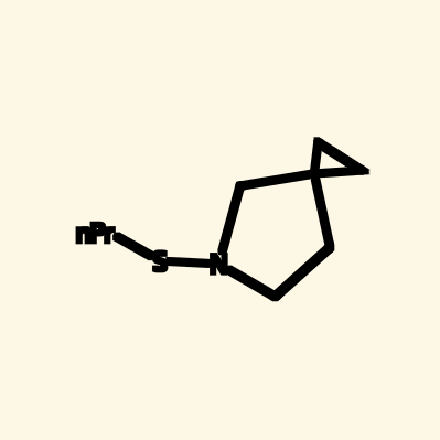 CCCSN1CCC2(CC2)C1